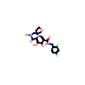 CCN1CC2(CCOC2)n2cc(C(=O)NCc3ccc(F)cc3F)c(=O)c(O)c2C1=O